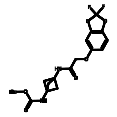 CC(C)(C)OC(=O)NC12CC(NC(=O)COc3ccc4c(c3)OC(F)(F)O4)(C1)C2